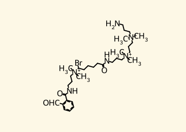 C[N+](C)(CCCN)CCC[N+](C)(C)CCCNC(=O)CCCCC(Br)[N+](C)(C)CCCNC(=O)c1ccccc1C=O